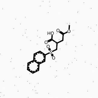 COC(=O)CC(CS(=O)(=O)c1ccc2ccccc2c1)C(=O)O